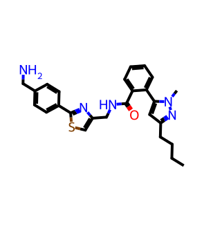 CCCCc1cc(-c2ccccc2C(=O)NCc2csc(-c3ccc(CN)cc3)n2)n(C)n1